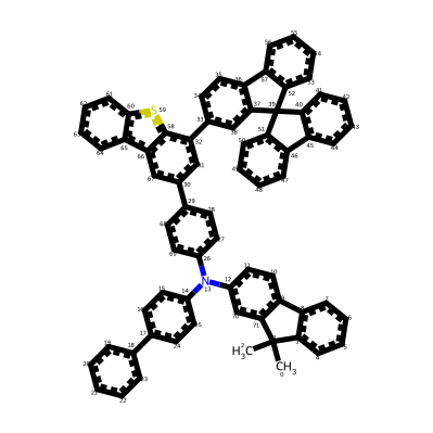 CC1(C)c2ccccc2-c2ccc(N(c3ccc(-c4ccccc4)cc3)c3ccc(-c4cc(-c5ccc6c(c5)C5(c7ccccc7-c7ccccc75)c5ccccc5-6)c5sc6ccccc6c5c4)cc3)cc21